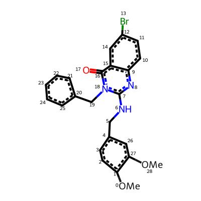 COc1ccc(CNc2nc3ccc(Br)cc3c(=O)n2Cc2ccccc2)cc1OC